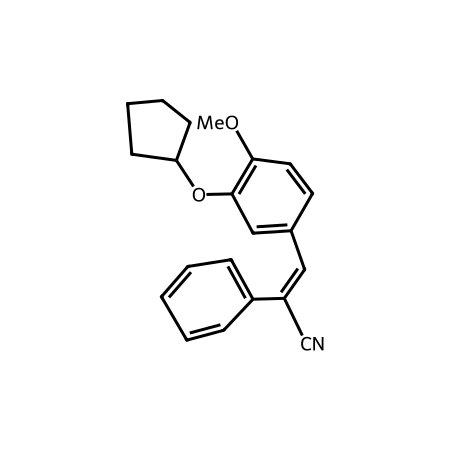 COc1ccc(C=C(C#N)c2ccccc2)cc1OC1CCCC1